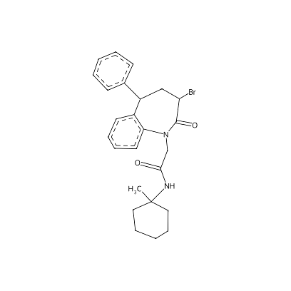 CC1(NC(=O)CN2C(=O)C(Br)CC(c3ccccc3)c3ccccc32)CCCCC1